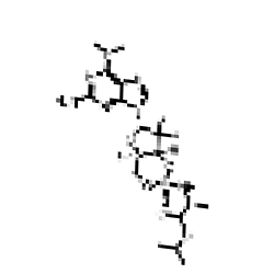 CC(C)OC(=O)[C@H](C)NP1(=S)OC[C@@]2(F)O[C@@H](n3cnc4c(N(C)C)nc(N)nc43)[C@](C)(F)[C@@H]2O1